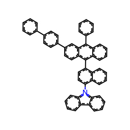 c1ccc(-c2ccc(-c3ccc4c(-c5ccc(-n6c7ccccc7c7ccccc76)c6ccccc56)c5ccccc5c(-c5ccccc5)c4c3)cc2)cc1